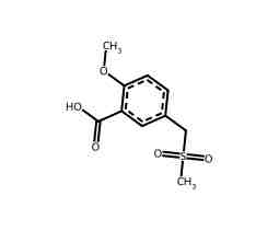 COc1ccc(CS(C)(=O)=O)cc1C(=O)O